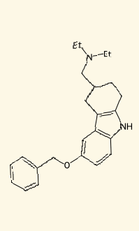 CCN(CC)CC1CCc2[nH]c3ccc(OCc4ccccc4)cc3c2C1